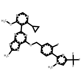 COc1ncnc(C2CC2)c1-c1nc(OCc2ccc(-c3nc(C(F)(F)F)cn3C)c(F)c2)c2nc(C)sc2n1